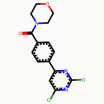 O=C(c1ccc(-c2cc(Cl)nc(Cl)n2)cc1)N1CCOCC1